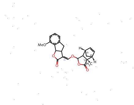 COc1cccc2c1C1OC(=O)/C(=C/OC3OC(=O)[C@]4(C)C3[C@@H]3C=C[C@H]4C3)C1C2